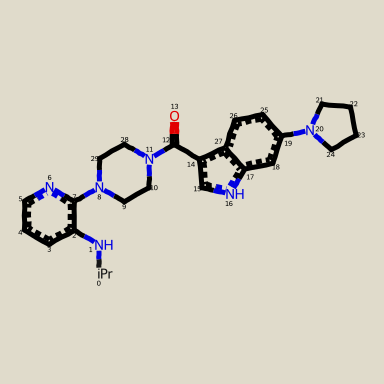 CC(C)Nc1cccnc1N1CCN(C(=O)c2c[nH]c3cc(N4CCCC4)ccc23)CC1